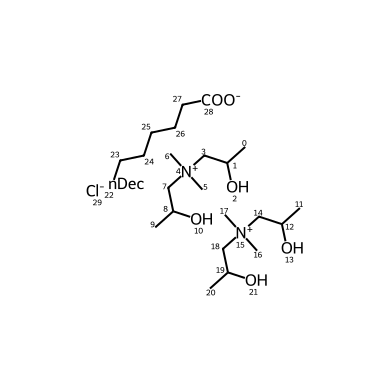 CC(O)C[N+](C)(C)CC(C)O.CC(O)C[N+](C)(C)CC(C)O.CCCCCCCCCCCCCCCC(=O)[O-].[Cl-]